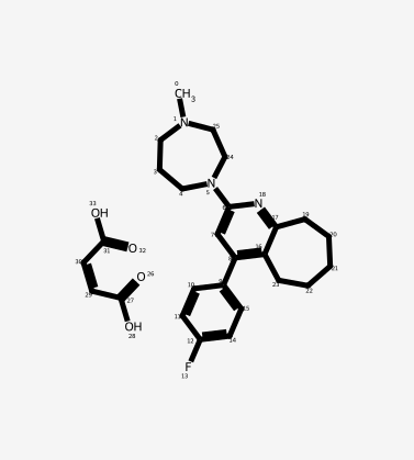 CN1CCCN(c2cc(-c3ccc(F)cc3)c3c(n2)CCCCC3)CC1.O=C(O)/C=C\C(=O)O